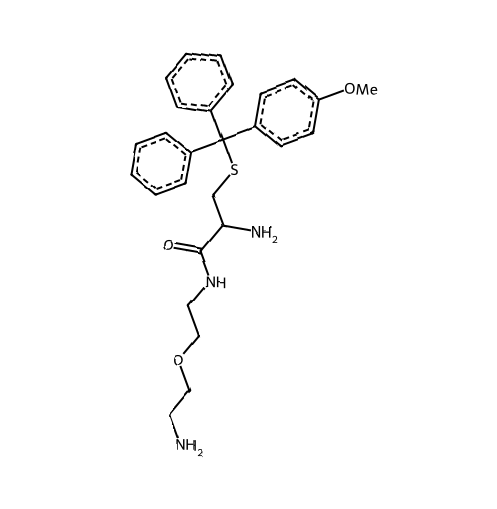 COc1ccc(C(SCC(N)C(=O)NCCOCCN)(c2ccccc2)c2ccccc2)cc1